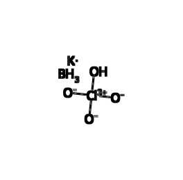 B.[K].[O-][Cl+3]([O-])([O-])O